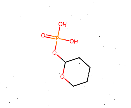 O=P(O)(O)OC1CCCCO1